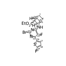 CCOC(=O)[C@@H]1C2CCC(CC2)[C@H]1Nc1nc(Br)nc(-c2ccc(F)s2)c1F